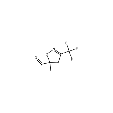 CC1([C]=O)CC(C(F)(F)F)=NO1